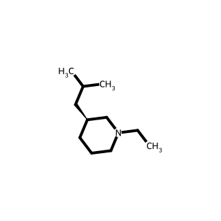 CCN1CCC[C@@H](CC(C)C)C1